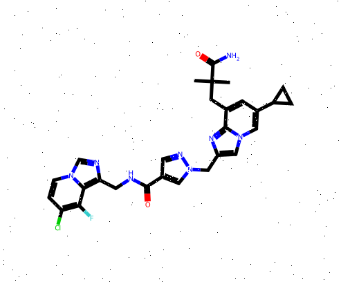 CC(C)(Cc1cc(C2CC2)cn2cc(Cn3cc(C(=O)NCc4ncn5ccc(Cl)c(F)c45)cn3)nc12)C(N)=O